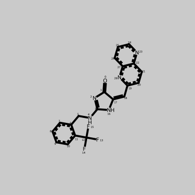 O=C1N=C(NCc2ccccc2C(F)(F)F)NC1=Cc1ccc2ncccc2n1